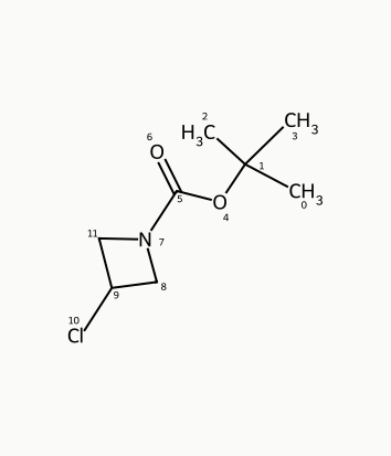 CC(C)(C)OC(=O)N1CC(Cl)C1